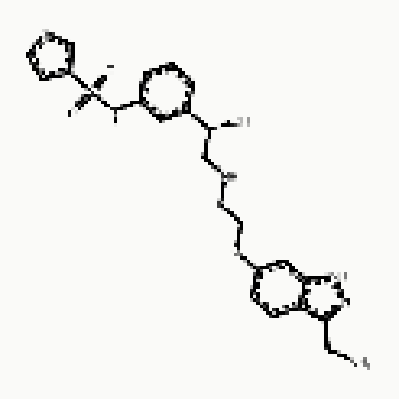 CCc1n[nH]c2cc(OCCNC[C@H](O)c3cccc(NS(=O)(=O)c4ccsc4)c3)ccc12